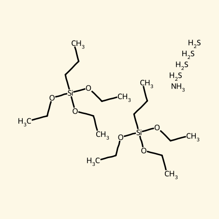 CCC[Si](OCC)(OCC)OCC.CCC[Si](OCC)(OCC)OCC.N.S.S.S.S